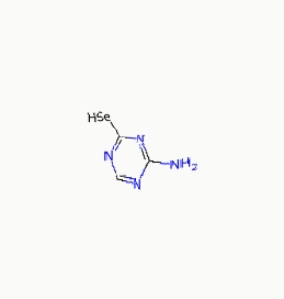 Nc1ncnc([SeH])n1